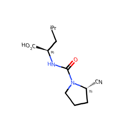 CC(C)C[C@@H](NC(=O)N1CCC[C@H]1C#N)C(=O)O